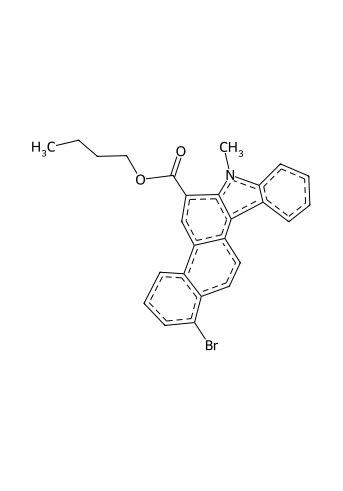 CCCCOC(=O)c1cc2c3cccc(Br)c3ccc2c2c3ccccc3n(C)c12